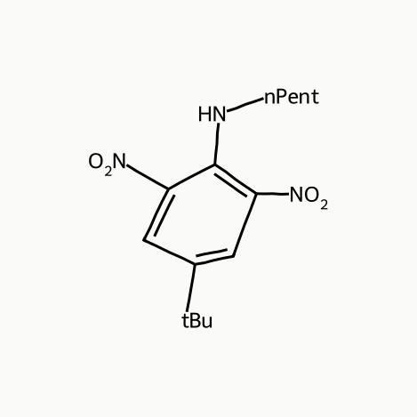 CCCCCNc1c([N+](=O)[O-])cc(C(C)(C)C)cc1[N+](=O)[O-]